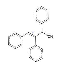 OC(/C(=C/c1ccccc1)c1ccccc1)c1ccccc1